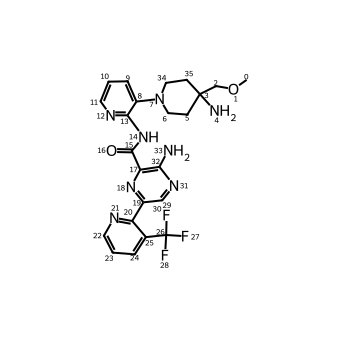 COCC1(N)CCN(c2cccnc2NC(=O)c2nc(-c3ncccc3C(F)(F)F)cnc2N)CC1